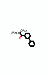 COC(OC)C(=O)c1cccc(-c2ccccc2)c1